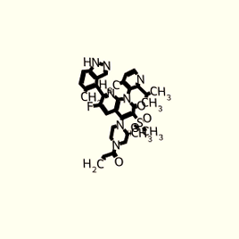 C=CC(=O)N1CCN(c2c(S(C)(=O)=O)c(=O)n(-c3c(C)ccnc3C(C)C)c3nc(-c4c(C)ccc5[nH]ncc45)c(F)cc23)[C@@H](C)C1